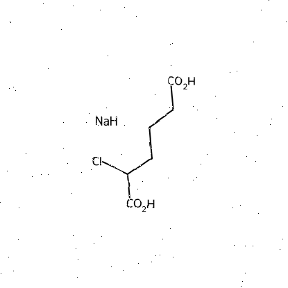 O=C(O)CCCC(Cl)C(=O)O.[NaH]